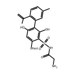 C=C(C)c1ccc(C)cc1-c1c(O)cc(CCCCC)c(S(=O)(=O)NC(=O)CN)c1O